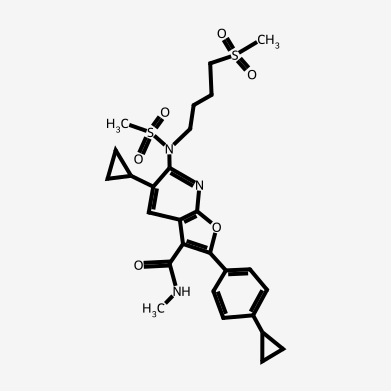 CNC(=O)c1c(-c2ccc(C3CC3)cc2)oc2nc(N(CCCCS(C)(=O)=O)S(C)(=O)=O)c(C3CC3)cc12